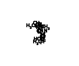 Cn1c(=O)n(CC(C)(C)C)c2ccc(-c3cc(C(C)(O)C(F)(F)F)ccc3C#N)nc21